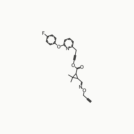 C#CCON=CC1C(C(=O)OC#CCc2cccc(Oc3ccc(F)cc3)n2)C1(C)C